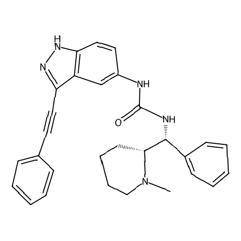 CN1CCCC[C@@H]1[C@H](NC(=O)Nc1ccc2[nH]nc(C#Cc3ccccc3)c2c1)c1ccccc1